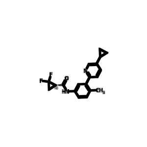 Cc1ccc(NC(=O)[C@@H]2CC2(F)F)cc1-c1ccc(C2CC2)cn1